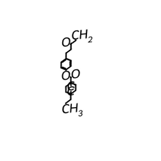 C=CC(=O)CCc1ccc(OC(=O)C23CCC(CCC)(CC2)CC3)cc1